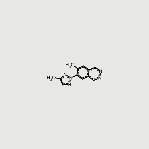 Cc1cnn(-c2cc3cnn[c]c3cc2C)n1